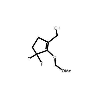 COCOC1=C(CO)CCC1(F)F